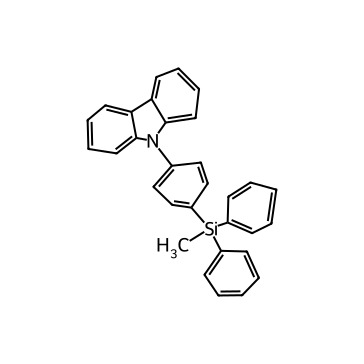 C[Si](c1ccccc1)(c1ccccc1)c1ccc(-n2c3ccccc3c3ccccc32)cc1